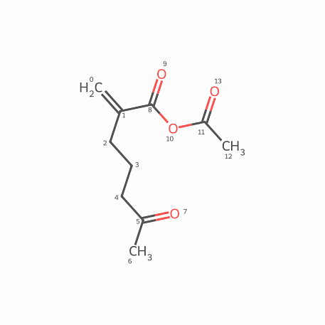 C=C(CCCC(C)=O)C(=O)OC(C)=O